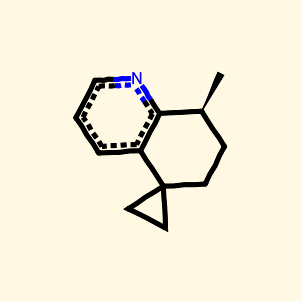 C[C@H]1CCC2(CC2)c2cccnc21